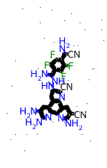 N#CC(N)=c1c(F)c(F)c(=C(N)NNc2cc3c4cc(N)c(N)nc4c4nc(N)c(C#N)cc4c3nc2C#N)c(F)c1F